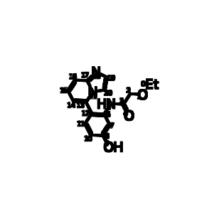 CCOCC(=O)Nc1cc(O)ccc1-c1cccc2nccn12